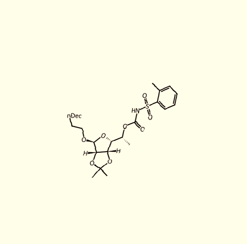 CCCCCCCCCCCCO[C@H]1O[C@H]([C@@H](C)OC(=O)NS(=O)(=O)c2ccccc2C)[C@@H]2OC(C)(C)O[C@H]12